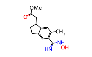 COC(=O)CC1CCc2cc(C(=N)NO)c(C)cc21